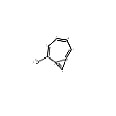 OC1=CC=CC=C2C=C12